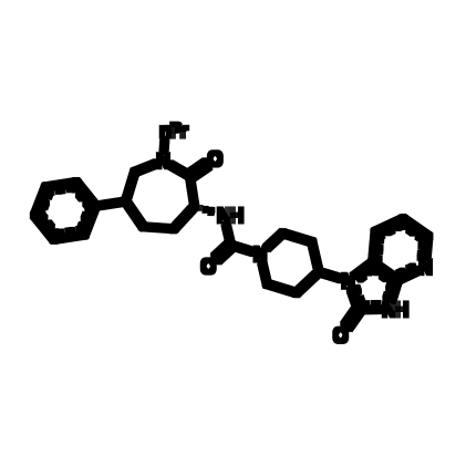 CCCN1CC(c2ccccc2)CC[C@@H](NC(=O)N2CCC(n3c(=O)[nH]c4ncccc43)CC2)C1=O